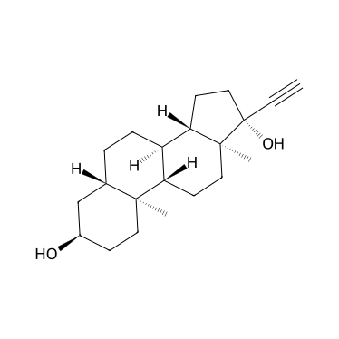 C#C[C@]1(O)CC[C@H]2[C@@H]3CC[C@H]4C[C@H](O)CC[C@]4(C)[C@H]3CC[C@@]21C